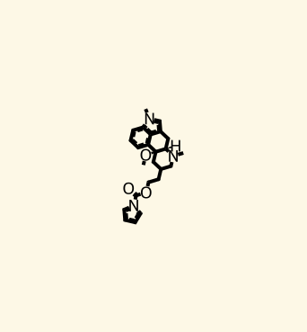 CO[C@]12CC(CCOC(=O)n3cccc3)CN(C)[C@@H]1Cc1cn(C)c3cccc2c13